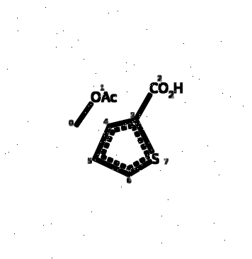 COC(C)=O.O=C(O)c1cccs1